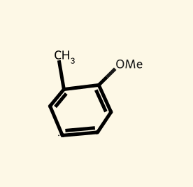 COc1cc[c]cc1C